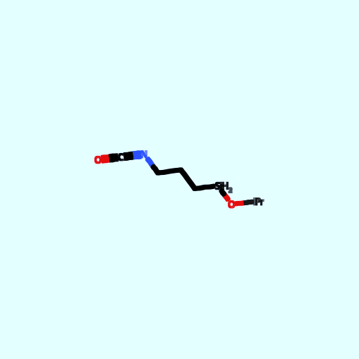 CC(C)O[SiH2]CCCN=C=O